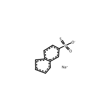 O=S([O-])(=S)c1ccc2ccccc2c1.[Na+]